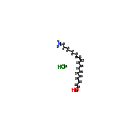 CN(C)CCCCCCCC/C=C\CCCCCCCCCCO.Cl